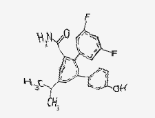 CC(C)c1cc(C(N)=O)c(-c2cc(F)cc(F)c2)c(-c2ccc(O)cc2)c1